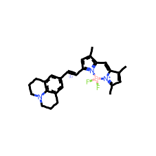 CC1=CC(C)=[N+]2C1=Cc1c(C)cc(/C=C/c3cc4c5c(c3)CCCN5CCC4)n1[B-]2(F)F